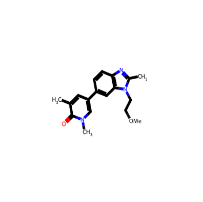 COCCn1c(C)nc2ccc(-c3cc(C)c(=O)n(C)c3)cc21